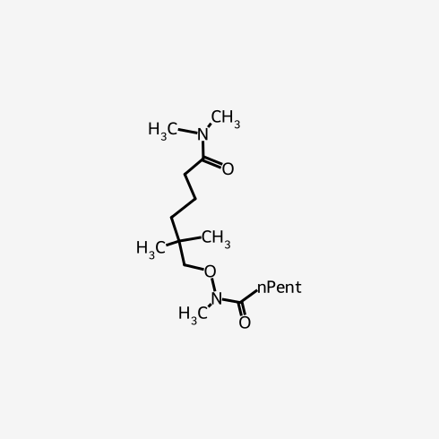 CCCCCC(=O)N(C)OCC(C)(C)CCCC(=O)N(C)C